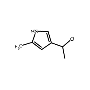 CC(Cl)c1c[nH]c(C(F)(F)F)c1